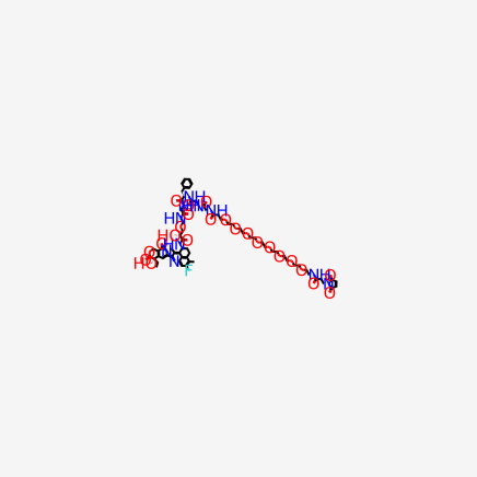 CC[C@@]1(O)C(=O)OCc2c1cc1n(c2=O)Cc2c-1nc1cc(F)c(C)c3c1c2[C@@H](NC(=O)[C@H](O)COCNC(=O)CNC(=O)[C@H](Cc1ccccc1)NC(=O)CNC(=O)CNC(=O)CCOCCOCCOCCOCCOCCOCCOCCOCCNC(=O)CCN1C(=O)C=CC1=O)CC3